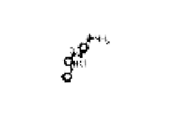 Cl.N[C@@H]1C[C@H]1c1ccc(NC(=O)c2cccc(Cc3ccccc3)c2)cc1